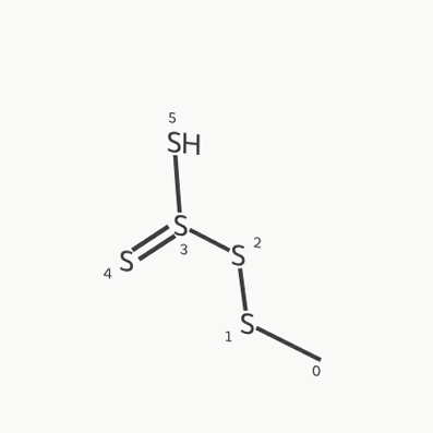 CSSS(=S)S